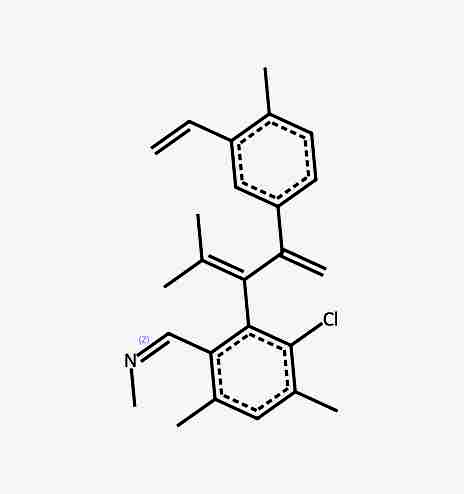 C=Cc1cc(C(=C)C(=C(C)C)c2c(Cl)c(C)cc(C)c2/C=N\C)ccc1C